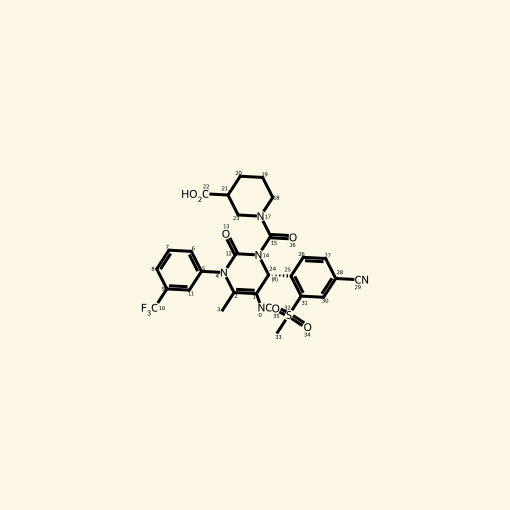 [C-]#[N+]C1=C(C)N(c2cccc(C(F)(F)F)c2)C(=O)N(C(=O)N2CCCC(C(=O)O)C2)[C@@H]1c1ccc(C#N)cc1S(C)(=O)=O